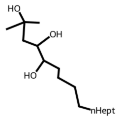 CCCCCCCCCCCC(O)C(O)CC(C)(C)O